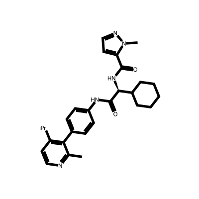 Cc1nccc(C(C)C)c1-c1ccc(NC(=O)[C@@H](NC(=O)c2ccnn2C)C2CCCCC2)cc1